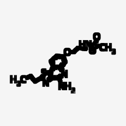 CCCc1nc2c(N)nc3cc(OCCCNS(C)(=O)=O)ccc3c2s1